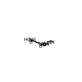 C=N/C=C\N=C(/C)N(C)c1ccc(C(=O)NCCCCCCC(=O)NO)cc1